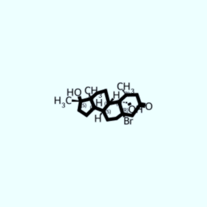 C[C@@H]1CC(=O)C[C@]2(Br)CC[C@@H]3[C@H](CC[C@@]4(C)[C@H]3CC[C@]4(C)O)[C@@]12CO